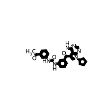 CC(=O)c1cccc(NC(=O)Nc2cccc(C(=O)c3cn(C4CCCC4)c4ncnc(N)c34)c2)c1